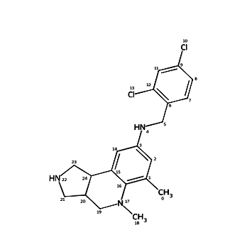 Cc1cc(NCc2ccc(Cl)cc2Cl)cc2c1N(C)CC1CNCC21